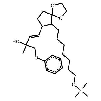 CC(O)(C=CC1CCC2(OCCO2)C1CCCCCCCO[Si](C)(C)C)COc1ccccc1